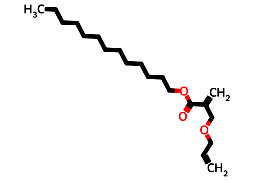 C=CCOCC(=C)C(=O)OCCCCCCCCCCCCC